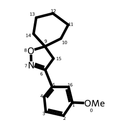 COc1cccc(C2=NOC3(CCCCC3)C2)c1